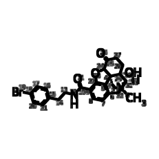 CN1CC[C@]23c4c5ccc(C(=O)NCCc6ccc(Br)cc6)c4OC2C(=O)CC[C@@]3(O)[C@H]1C5